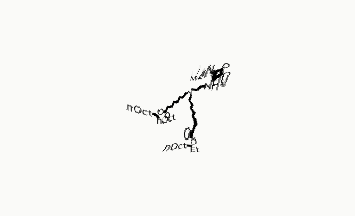 CCCCCCCCC(CCCCCCCC)OC(=O)CCCCCCCN(CCCCCCCC(=O)O[C@H](CC)CCCCCCCC)CCCNc1c(NC)c(=O)c1=O